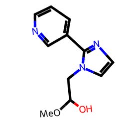 COC(O)Cn1ccnc1-c1cccnc1